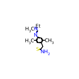 CCN(C)C=Nc1cc(C)c(CC(N)=S)cc1C